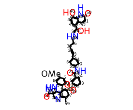 COc1cccc(Nc2c(C(N)=O)cnc3c2=CC(S(=O)(=O)c2cccc(C(=O)Nc4ccc(C#CCCCNC[C@H](O)c5ccc(O)c6[nH]c(=O)ccc56)cc4)c2)CC=3C)c1